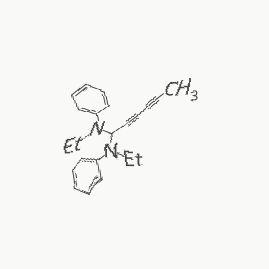 CC#CC#CC(N(CC)c1ccccc1)N(CC)c1ccccc1